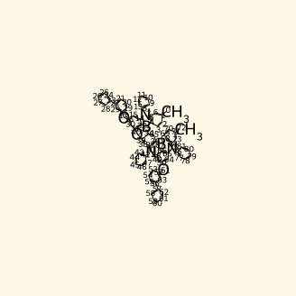 Cc1ccc2c(c1)N(c1ccccc1)c1cc(Oc3cccc(-c4ccccc4)c3)cc3c1B2c1cc2c(cc1O3)N(c1ccccc1)c1cc(Oc3cccc(-c4ccccc4)c3)cc3c1B2c1ccc(C)cc1N3c1ccccc1